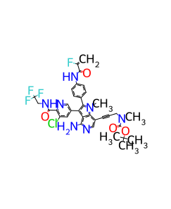 C=C(F)C(=O)Nc1ccc(-c2c(-c3cnc(C(=O)NCC(F)(F)F)c(Cl)c3)c3c(N)ncc(C#CCN(C)C(=O)OC(C)(C)C)c3n2C)cc1